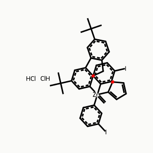 Cl.Cl.[CH2]=[Zr]([C]1=CC=CC1)([c]1cccc(I)c1)([c]1cccc(I)c1)[c]1cc(C(C)(C)C)cc2c1Cc1ccc(C(C)(C)C)cc1-2